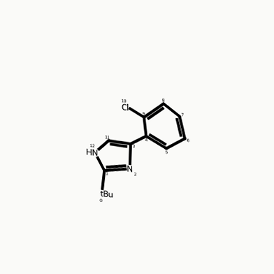 CC(C)(C)c1nc(-c2ccccc2Cl)c[nH]1